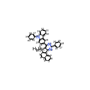 C[SiH]1c2ccc3ccccc3c2-c2nc(-c3ccccc3)nc(-c3ccc4c(c3)c3ccccc3n4-c3ccccc3)c21